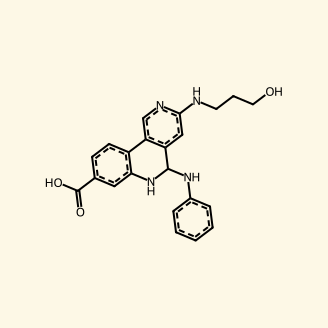 O=C(O)c1ccc2c(c1)NC(Nc1ccccc1)c1cc(NCCCO)ncc1-2